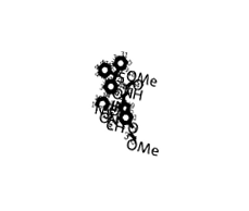 COCCOc1cc(N(C)S(=O)(=O)c2ccccn2)c2[nH]c(C(=O)N[C@H](CSC(c3ccccc3)(c3ccccc3)c3ccccc3)C(=O)OC)cc2c1